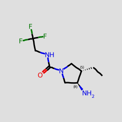 CC[C@H]1CN(C(=O)NCC(F)(F)F)C[C@@H]1N